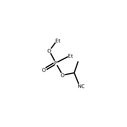 [C-]#[N+]C(C)OP(=O)(CC)OCC